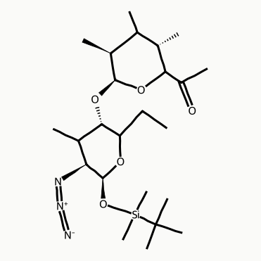 CCC1O[C@@H](O[Si](C)(C)C(C)(C)C)[C@@H](N=[N+]=[N-])C(C)[C@@H]1O[C@@H]1OC(C(C)=O)[C@@H](C)C(C)[C@@H]1C